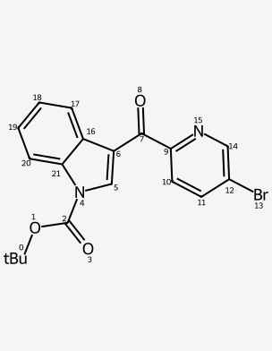 CC(C)(C)OC(=O)n1cc(C(=O)c2ccc(Br)cn2)c2ccccc21